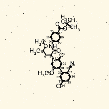 COc1cn(C(C[C@H](C)OC)C(=O)Nc2ccc(C(=O)OC(C)(C)C)cc2)c(=O)cc1-c1cc(Cl)ccc1C#N